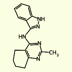 Cc1nc2c(c(Nc3n[nH]c4ccccc34)n1)CCCC2